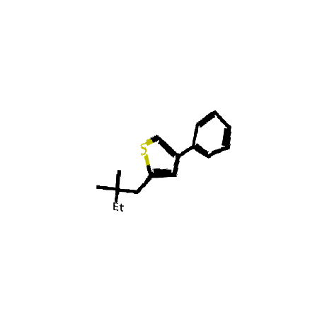 CCC(C)(C)Cc1cc(-c2ccccc2)cs1